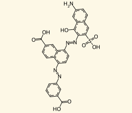 Nc1ccc2cc(S(=O)(=O)O)c(N=Nc3ccc(N=Nc4cccc(C(=O)O)c4)c4ccc(C(=O)O)cc34)c(O)c2c1